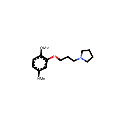 CNc1ccc(OC)c(OCCCN2CCCC2)c1